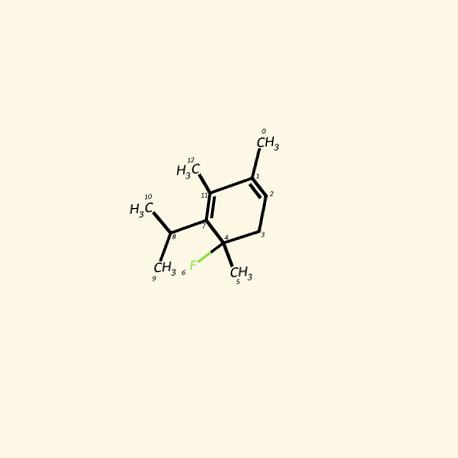 CC1=CCC(C)(F)C(C(C)C)=C1C